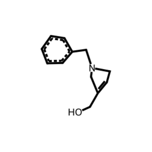 OCC1=CCN(Cc2ccccc2)C1